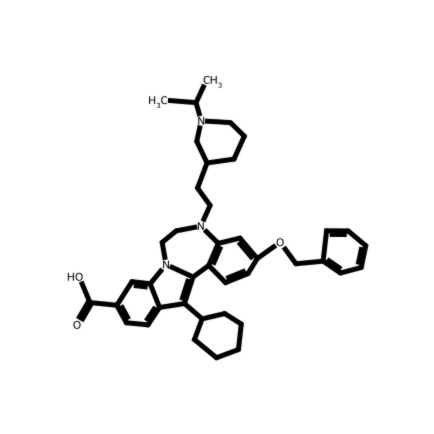 CC(C)N1CCCC(CCN2CCn3c(c(C4CCCCC4)c4ccc(C(=O)O)cc43)-c3ccc(OCc4ccccc4)cc32)C1